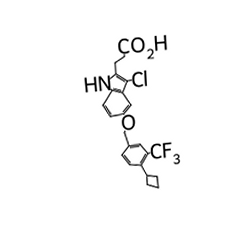 O=C(O)CCc1[nH]c2ccc(OCc3ccc(C4CCC4)c(C(F)(F)F)c3)cc2c1Cl